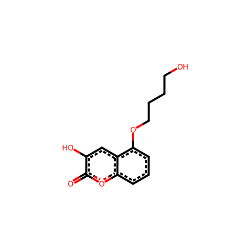 O=c1oc2cccc(OCCCCO)c2cc1O